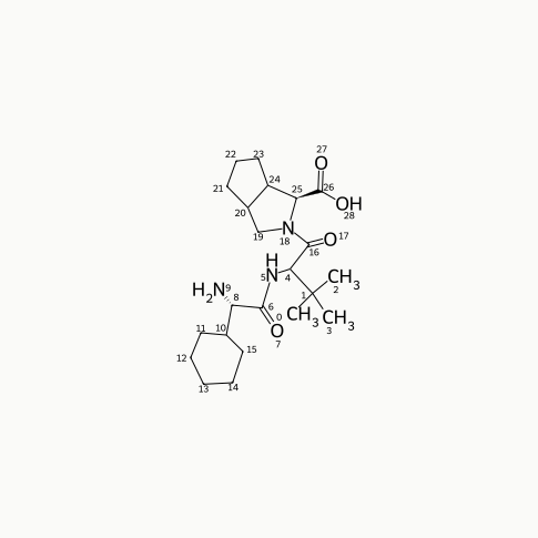 CC(C)(C)C(NC(=O)[C@@H](N)C1CCCCC1)C(=O)N1CC2CCCC2[C@H]1C(=O)O